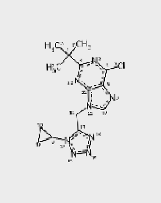 CC(C)(C)c1nc(Cl)c2ncn(Cc3nnnn3C3CC3)c2n1